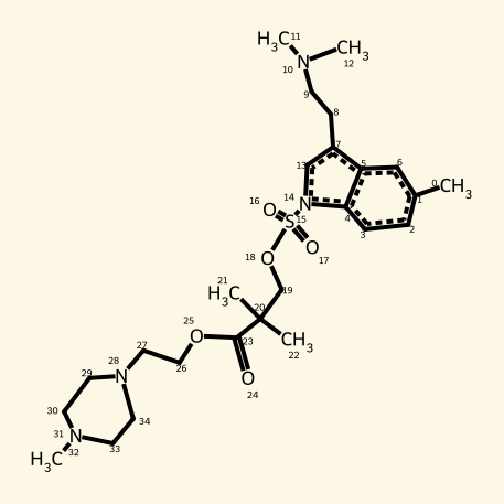 Cc1ccc2c(c1)c(CCN(C)C)cn2S(=O)(=O)OCC(C)(C)C(=O)OCCN1CCN(C)CC1